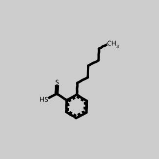 CCCCCCc1ccccc1C(=S)S